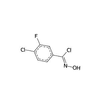 ON=C(Cl)c1ccc(Cl)c(F)c1